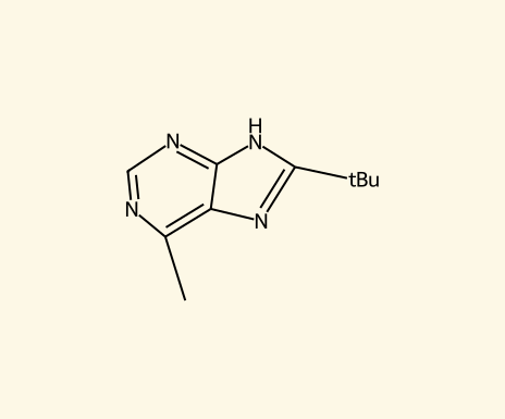 Cc1ncnc2[nH]c(C(C)(C)C)nc12